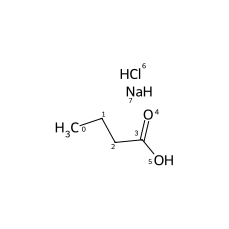 CCCC(=O)O.Cl.[NaH]